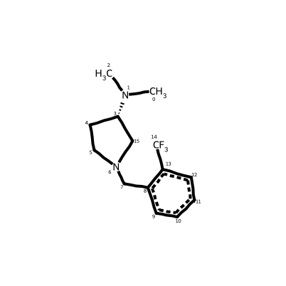 CN(C)[C@H]1CCN(Cc2cc[c]cc2C(F)(F)F)C1